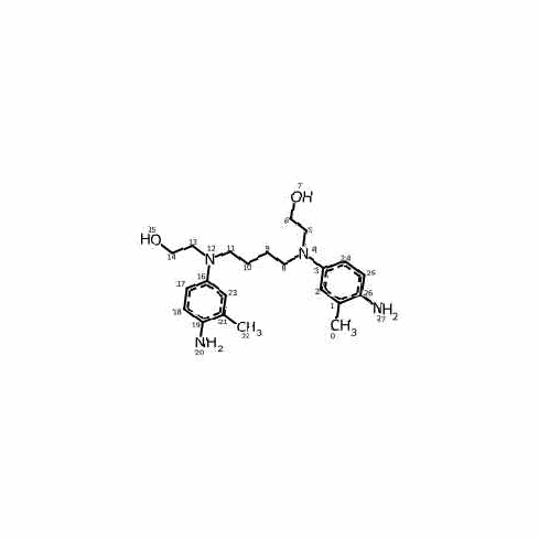 Cc1cc(N(CCO)CCCCN(CCO)c2ccc(N)c(C)c2)ccc1N